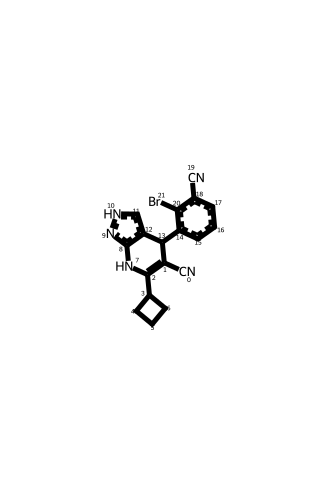 N#CC1=C(C2CCC2)Nc2n[nH]cc2C1c1cccc(C#N)c1Br